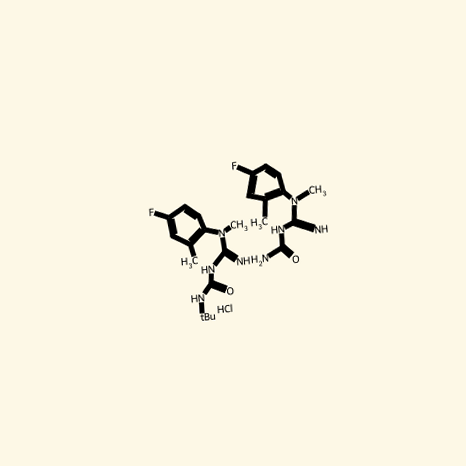 Cc1cc(F)ccc1N(C)C(=N)NC(=O)NC(C)(C)C.Cc1cc(F)ccc1N(C)C(=N)NC(N)=O.Cl